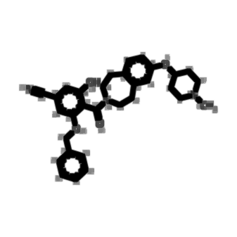 CN1CCC(Oc2ccc3c(c2)CCN(C(=O)c2c(O)cc(C#N)cc2OCc2ccccc2)CC3)CC1